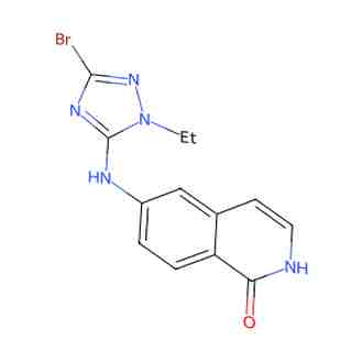 CCn1nc(Br)nc1Nc1ccc2c(=O)[nH]ccc2c1